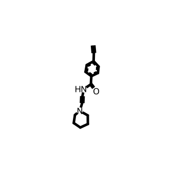 C#Cc1ccc(C(=O)NC#CN2CCCCC2)cc1